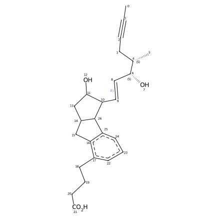 CC#CC[C@H](C)[C@H](O)/C=C/C1C(O)CC2Cc3c(CCCC(=O)O)cccc3C21